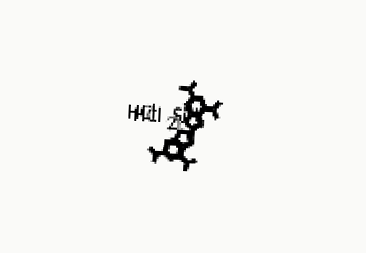 CC1=Cc2c(C(C)C)cc(C(C)C)cc2[CH]1[Zr]([CH3])([CH3])([SiH3])[CH]1C(C)=Cc2c(C(C)C)cc(C(C)C)cc21.Cl.Cl